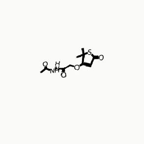 CC(=O)NNC(=O)COC1=CC(=O)SC1(C)C